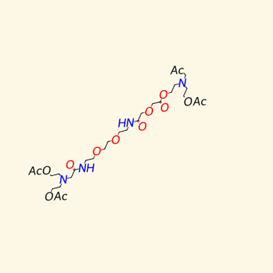 CC(=O)CN(CCOC(C)=O)CCOC(=O)COCC(=O)NCCOCCOCCNC(=O)CN(CCOC(C)=O)CCOC(C)=O